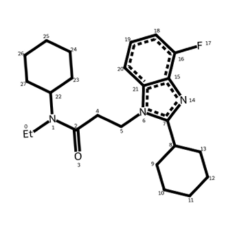 CCN(C(=O)CCn1c(C2CCCCC2)nc2c(F)cccc21)C1CCCCC1